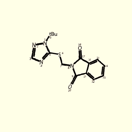 CC(C)(C)n1ncnc1SCN1C(=O)c2ccccc2C1=O